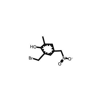 Cc1cc(C[N+](=O)[O-])cc(CBr)c1O